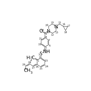 C=c1c(SNc2ccc(C(=O)N3CCN(CC4CC4)CC3)cc2)ccc/c1=C/C=C\C